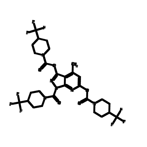 Cc1cc(OC(=O)N2CCC(C(F)(F)F)CC2)nc2c1c(OC(=O)N1CCC(C(F)(F)F)CC1)nn2C(=O)N1CCC(C(F)(F)F)CC1